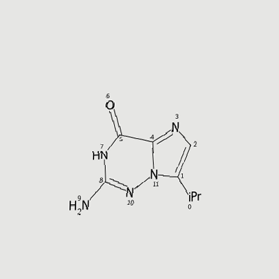 CC(C)c1cnc2c(=O)[nH]c(N)nn12